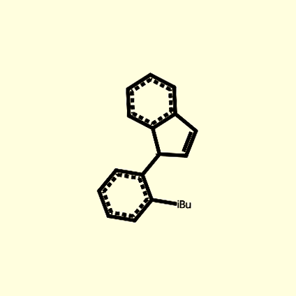 CCC(C)c1ccccc1[C]1C=Cc2ccccc21